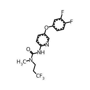 CN(CCC(F)(F)F)C(=O)Nc1ccc(Oc2ccc(F)c(F)c2)cn1